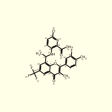 Cc1ccc(-c2oc3c(C(C)Nc4ccc(Cl)nc4C(=O)O)cc(C(F)(F)F)cc3c(=O)c2C)cc1F